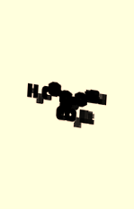 CCOC(=O)COc1cc(-c2cccc(C)c2)ccc1Oc1ccc(C(C)(C)C)cc1